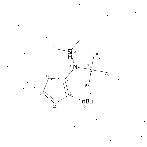 CCCCC1=C(N([SiH](C)C)[Si](C)(C)C)CC=C1